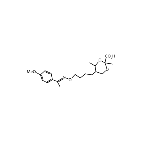 COc1ccc(C(C)=NOCCCCC2COC(C)(C(=O)O)OC2C)cc1